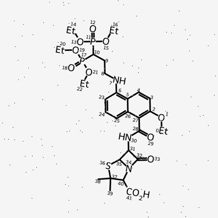 CCOc1ccc2c(NCCC(P(=O)(OCC)OCC)P(=O)(OCC)OCC)cccc2c1C(=O)NC1C(=O)N2C1SC(C)(C)C2C(=O)O